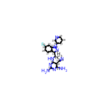 C[C@H](Nc1nc(N)nc(N)c1C#N)c1nn(-c2cccnc2)c2cc(F)ccc12